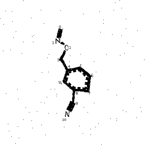 [CH]=NOCc1cccc(C#N)c1